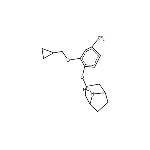 ON1C2CCC1CC(Oc1ccc(C(F)(F)F)cc1OCC1CC1)C2